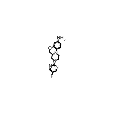 Nc1ccc2c(c1)OCC1CN(c3ncc(F)cn3)CCN21